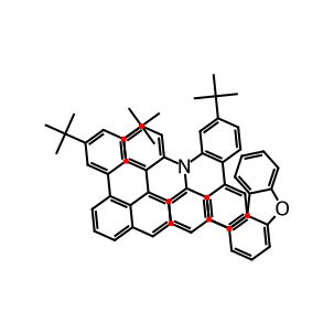 CC(C)(C)c1cc(-c2cccc3cccc(-c4ccccc4N(c4cccc(-c5cccc6oc7ccccc7c56)c4)c4cc(C(C)(C)C)ccc4-c4ccccc4)c23)cc(C(C)(C)C)c1